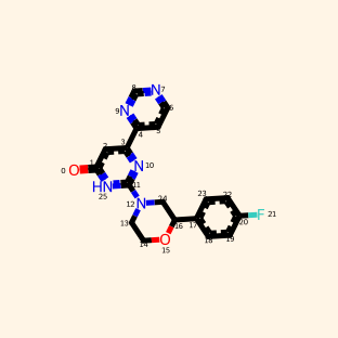 O=c1cc(-c2ccncn2)nc(N2CCOC(c3ccc(F)cc3)C2)[nH]1